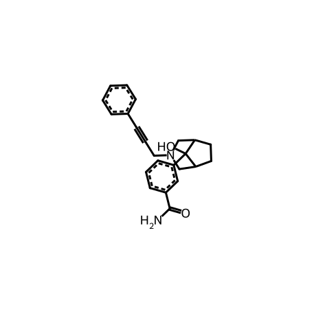 NC(=O)c1cccc(C2(O)C3CCC2CN(CC#Cc2ccccc2)C3)c1